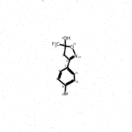 OC1(C(F)(F)F)CC(c2ccc(Br)cc2)=NO1